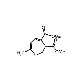 COC(=O)C1=CC=C(C)CCC1C(=O)OC